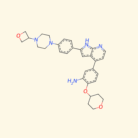 Nc1cc(-c2ccnc3[nH]c(-c4ccc(N5CCN(C6COC6)CC5)cc4)cc23)ccc1OC1CCOCC1